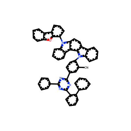 N#Cc1cc(-c2nc(-c3ccccc3)nc(-c3ccccc3-c3ccccc3)n2)ccc1-n1c2ccccc2c2ccc3c(c4ccccc4n3-c3cccc4c3oc3ccccc34)c21